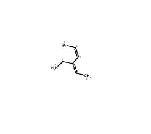 C/C=C(\C=C/C(C)C)CN